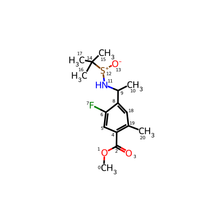 COC(=O)c1cc(F)c(C(C)N[S+]([O-])C(C)(C)C)cc1C